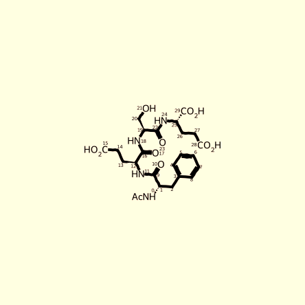 CC(=O)N[C@@H](Cc1ccccc1)C(=O)N[C@@H](CCC(=O)O)C(=O)N[C@@H](CO)C(=O)N[C@@H](CCC(=O)O)C(=O)O